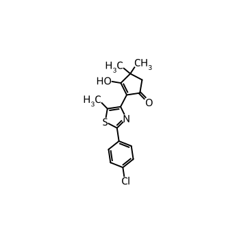 Cc1sc(-c2ccc(Cl)cc2)nc1C1=C(O)C(C)(C)CC1=O